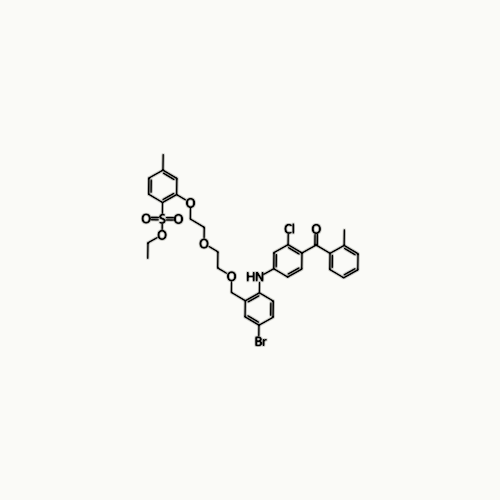 CCOS(=O)(=O)c1ccc(C)cc1OCCOCCOCc1cc(Br)ccc1Nc1ccc(C(=O)c2ccccc2C)c(Cl)c1